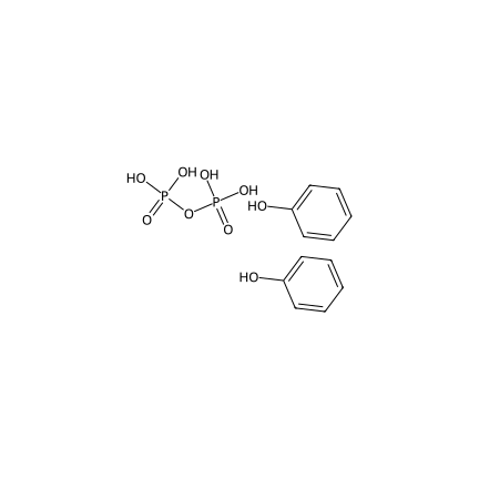 O=P(O)(O)OP(=O)(O)O.Oc1ccccc1.Oc1ccccc1